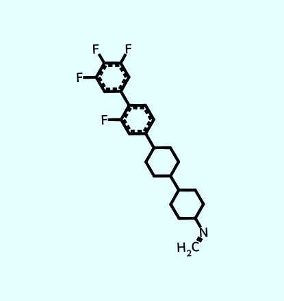 C=NC1CCC(C2CCC(c3ccc(-c4cc(F)c(F)c(F)c4)c(F)c3)CC2)CC1